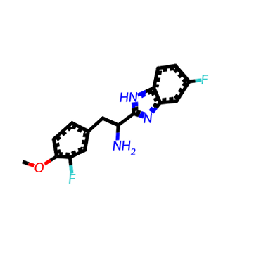 COc1ccc(CC(N)c2nc3cc(F)ccc3[nH]2)cc1F